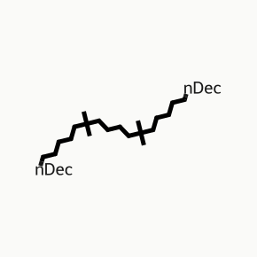 CCCCCCCCCCCCCCCC(C)(C)CCCCC(C)(C)CCCCCCCCCCCCCCC